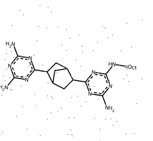 CCCCCCCCNc1nc(N)nc(C2CC3CC2CC3c2nc(N)nc(N)n2)n1